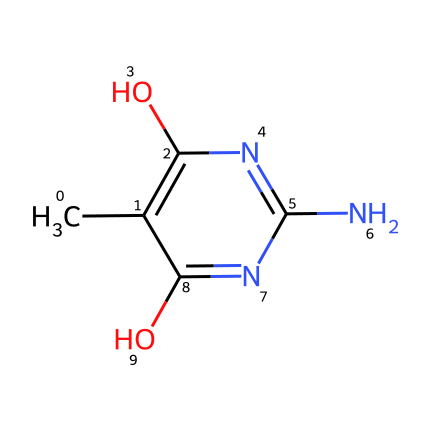 Cc1c(O)nc(N)nc1O